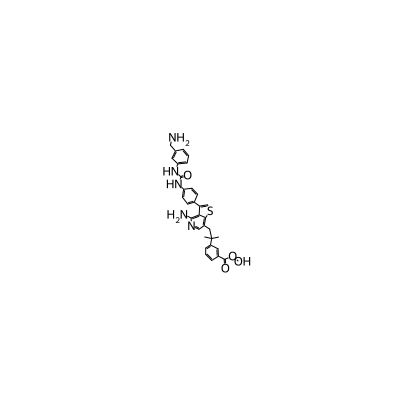 CC(C)(Cc1cnc(N)c2c(-c3ccc(NC(=O)Nc4cccc(CN)c4)cc3)csc12)c1cccc(C(=O)OO)c1